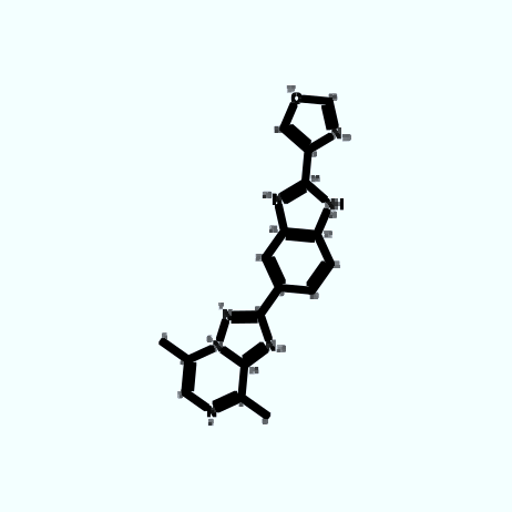 Cc1ncc(C)n2nc(-c3ccc4[nH]c(-c5cocn5)nc4c3)nc12